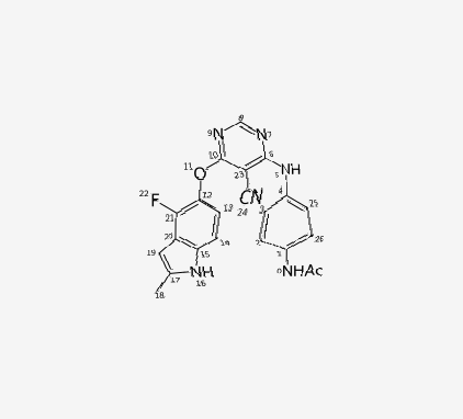 CC(=O)Nc1ccc(Nc2ncnc(Oc3ccc4[nH]c(C)cc4c3F)c2C#N)cc1